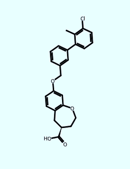 Cc1c(Cl)cccc1-c1cccc(COc2ccc3c(c2)OCC[C@@H](C(=O)O)C3)c1